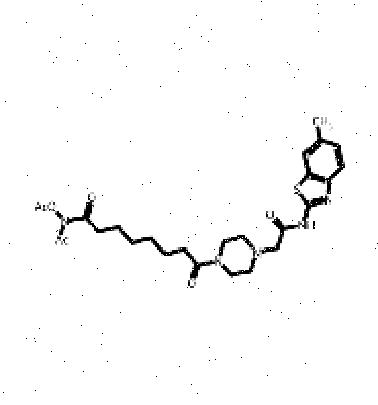 CC(=O)ON(C(C)=O)C(=O)CCCCCCC(=O)N1CCN(CC(=O)Nc2nc3ccc(C)cc3s2)CC1